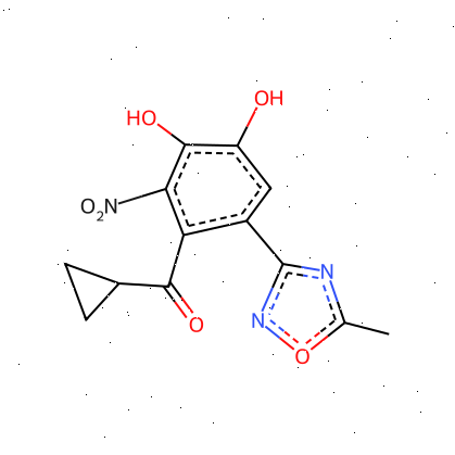 Cc1nc(-c2cc(O)c(O)c([N+](=O)[O-])c2C(=O)C2CC2)no1